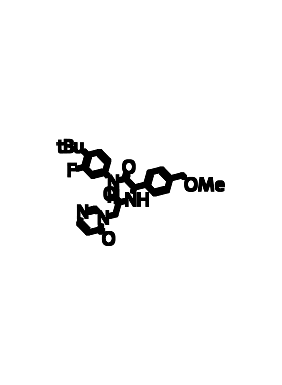 COCc1ccc(C(NC(=O)Cn2cnccc2=O)C(=O)Nc2ccc(C(C)(C)C)c(F)c2)cc1